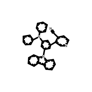 N#Cc1ccncc1-c1cc(N(c2ccccc2)c2ccccc2)cc(-n2c3ccccc3c3ccccc32)c1